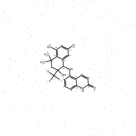 CC1(C)CC(O)(C(F)(F)F)C(Nc2cccc3[nH]c(=O)ccc23)c2cc(Cl)cc(O)c21